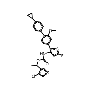 COc1cc(-c2sc(F)cc2NC(=O)OC(C)c2cscc2Cl)ccc1-c1ccc(C2CC2)cc1